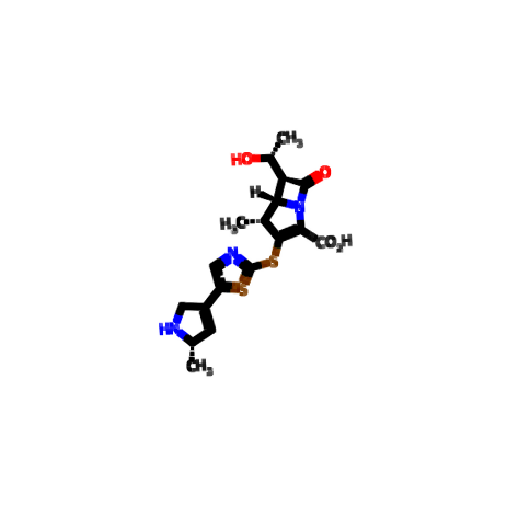 C[C@H]1C=C(c2cnc(SC3=C(C(=O)O)N4C(=O)[C@H]([C@@H](C)O)[C@H]4[C@H]3C)s2)CN1